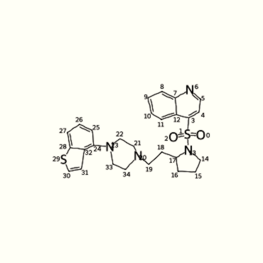 O=S(=O)(c1ccnc2ccccc12)N1CCCC1CCN1CCN(c2cccc3sccc23)CC1